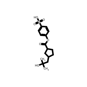 CC(C)(O)CC1CCC(C(=O)Oc2ccc(S(=O)(=O)O)cc2)C1